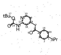 CC(C)c1ccc(C(=O)Cc2ccnc(NC(=O)OC(C)(C)C)c2)cc1